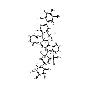 Cc1cc(-c2c(F)c(F)c(F)c(F)c2F)cc(C(F)(F)F)c1-n1c2ccccc2c2cc3c(cc21)c1ccccc1n3-c1c(C)cc(-c2c(F)c(F)c(F)c(F)c2F)cc1C(F)(F)F